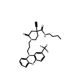 C#CC1(C(=O)NCCCC)CCN(CCCN2c3ccccc3Sc3ccc(C(F)(F)F)cc32)C(=O)C1